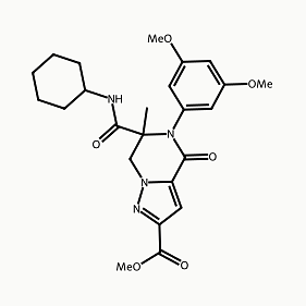 COC(=O)c1cc2n(n1)CC(C)(C(=O)NC1CCCCC1)N(c1cc(OC)cc(OC)c1)C2=O